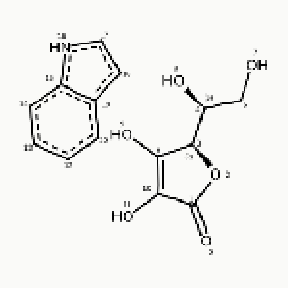 O=C1O[C@H]([C@@H](O)CO)C(O)=C1O.c1ccc2[nH]ccc2c1